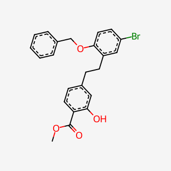 COC(=O)c1ccc(CCc2cc(Br)ccc2OCc2ccccc2)cc1O